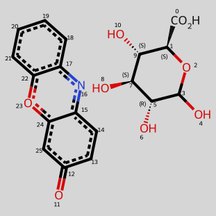 O=C(O)[C@H]1OC(O)[C@H](O)[C@@H](O)[C@@H]1O.O=c1ccc2nc3ccccc3oc-2c1